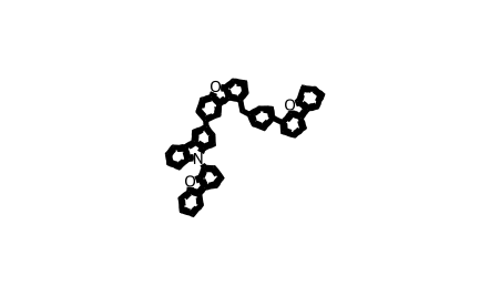 c1ccc2c(c1)oc1c(-c3ccc(Cc4cccc5oc6ccc(-c7ccc8c(c7)c7ccccc7n8-c7cccc8c7oc7ccccc78)cc6c45)cc3)cccc12